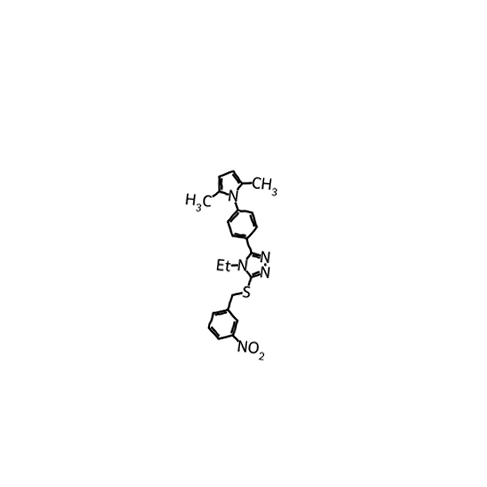 CCn1c(SCc2cccc([N+](=O)[O-])c2)nnc1-c1ccc(-n2c(C)ccc2C)cc1